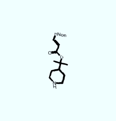 CCCCCCCCC/C=C/C(=O)OC(C)(C)C1CCNCC1